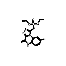 CCOP(=O)(Cc1nnc2c(=O)[nH]c3ccc(Cl)cc3n12)OCC